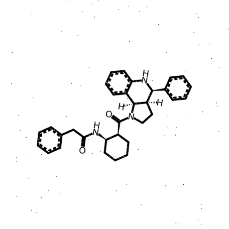 O=C(Cc1ccccc1)N[C@@H]1CCCC[C@@H]1C(=O)N1CC[C@@H]2[C@H](c3ccccc3)Nc3ccccc3[C@@H]21